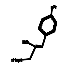 CCCCCCCCC(O)=Cc1ccc(CCC)cc1